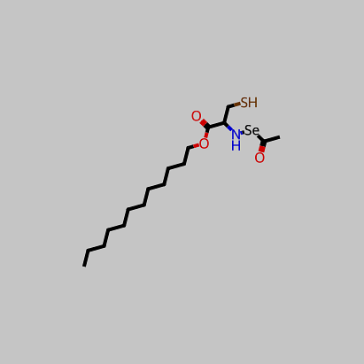 CCCCCCCCCCCCOC(=O)C(CS)N[Se]C(C)=O